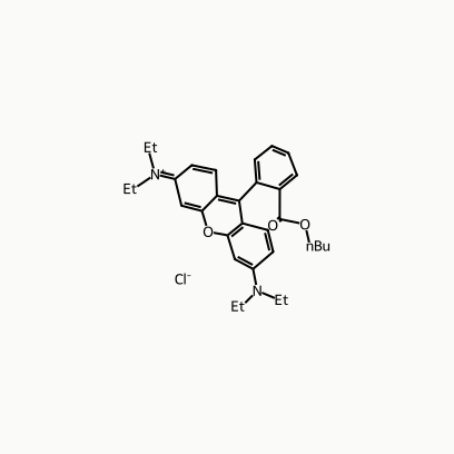 CCCCOC(=O)c1ccccc1-c1c2ccc(=[N+](CC)CC)cc-2oc2cc(N(CC)CC)ccc12.[Cl-]